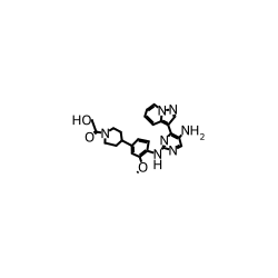 COc1cc(C2CCN(C(=O)CO)CC2)ccc1Nc1ncc(N)c(-c2cnn3ccccc23)n1